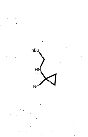 CCCCCNC1(C#N)CC1